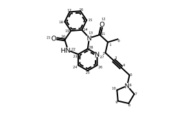 CC(CC#CCN1CCCC1)C(=O)N1c2ccccc2C(=O)Nc2cccnc21